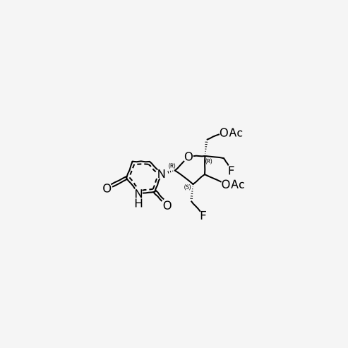 CC(=O)OC[C@@]1(CF)O[C@@H](n2ccc(=O)[nH]c2=O)[C@@H](CF)C1OC(C)=O